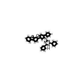 c1ccc(C2=NC(n3c4ccccc4c4cc5oc6c(ccc7c8ccccc8oc76)c5cc43)=NC(c3ccccc3)N2)cc1